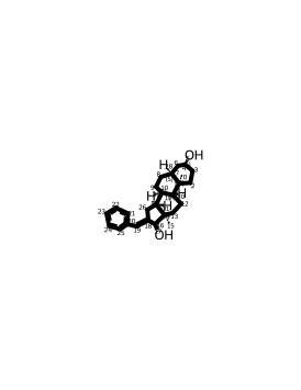 C[C@@]12CC[C@H](O)C[C@@H]1CC[C@H]1[C@H]2CC[C@@]2(C)C(O)C(=Cc3ccccc3)C[C@H]12